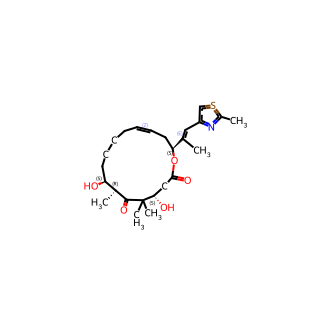 C/C(=C\c1csc(C)n1)[C@@H]1C/C=C\CCCC[C@H](O)[C@@H](C)C(=O)C(C)(C)[C@@H](O)CC(=O)O1